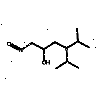 CC(C)N(CC(O)CN=O)C(C)C